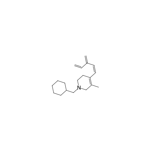 C=CC(=C)/C=C\C1=C(C)CN(CC2CCCCC2)CC1